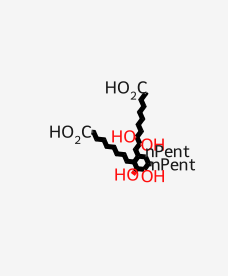 CCCCCC1C(O)C(O)C(CCCCCCCCC(=O)O)C(CC(O)C(O)CCCCCCCC(=O)O)C1CCCCC